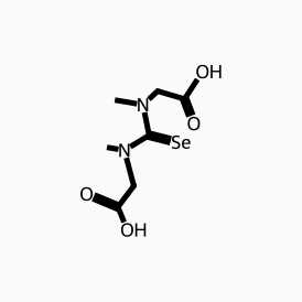 CN(CC(=O)O)C(=[Se])N(C)CC(=O)O